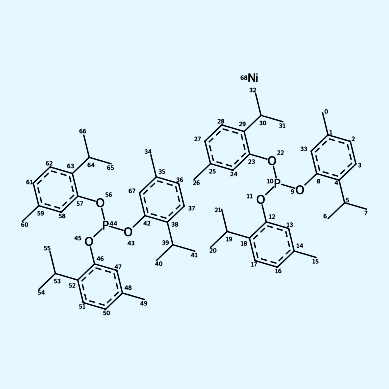 Cc1ccc(C(C)C)c(OP(Oc2cc(C)ccc2C(C)C)Oc2cc(C)ccc2C(C)C)c1.Cc1ccc(C(C)C)c(OP(Oc2cc(C)ccc2C(C)C)Oc2cc(C)ccc2C(C)C)c1.[Ni]